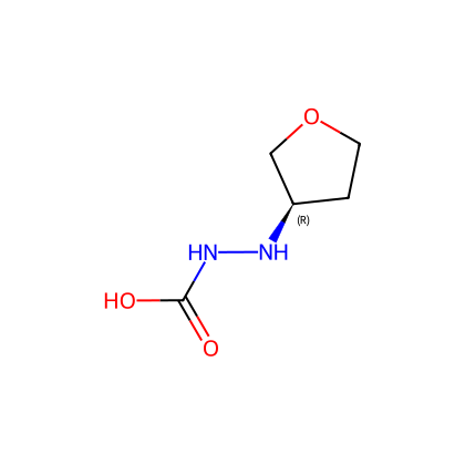 O=C(O)NN[C@@H]1CCOC1